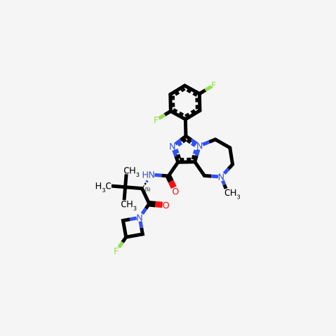 CN1CCCn2c(-c3cc(F)ccc3F)nc(C(=O)N[C@H](C(=O)N3CC(F)C3)C(C)(C)C)c2C1